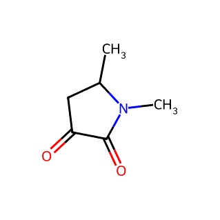 CC1CC(=O)C(=O)N1C